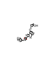 COc1ccc(CN2CC3CCC2CN3c2ccc(-c3cc(OCCN4CC5CC5(O)C4)cn4ncc(C#N)c34)cn2)cn1